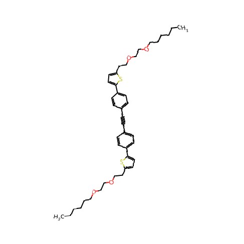 CCCCCCOCCOCCc1ccc(-c2ccc(C#Cc3ccc(-c4ccc(CCOCCOCCCCCC)s4)cc3)cc2)s1